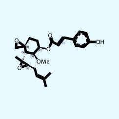 CO[C@H]1[C@H](C2(C)O[C@@H]2CC=C(C)C)[C@]2(CC[C@H]1OC(=O)/C=C/c1ccc(O)cc1)CO2